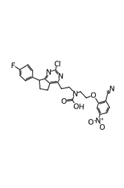 N#Cc1ccc([N+](=O)[O-])cc1OCCN(CCc1nc(Cl)nc2c1CCC2c1ccc(F)cc1)C(=O)O